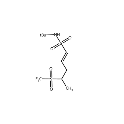 CC(C/C=C/S(=O)(=O)NC(C)(C)C)S(=O)(=O)C(F)(F)F